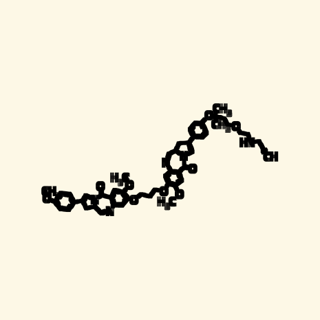 C#CCNCCOCCC(C)(C)Oc1ccc(C2=CN3C(=O)c4cc(OC)c(OCCCOc5cc6c(cc5OC)C(=O)N5C=C(c7ccc(OC)cc7)CC5C=N6)cc4N=CC3C2)cc1